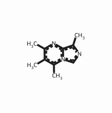 Cc1nc2c(C)ncn2c(C)c1C